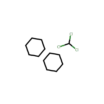 C1CCCCC1.C1CCCCC1.ClC(Cl)Cl